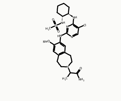 COc1cc2c(cc1Nc1ncc(Cl)c(N[C@@H]3CCCC[C@H]3NS(C)(=O)=O)n1)CCN(C(C)C(N)=O)CC2